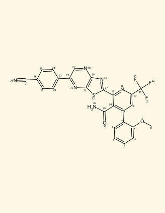 COc1ccccc1-c1cc(C(F)(F)F)nc(-c2nc3ncc(-c4ccc(C#N)cc4)nc3s2)c1C(N)=O